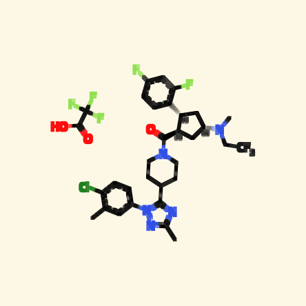 Cc1nc(C2CCN(C(=O)[C@@H]3C[C@@H](N(C)CC(F)(F)F)C[C@H]3c3ccc(F)cc3F)CC2)n(-c2ccc(Cl)c(C)c2)n1.O=C(O)C(F)(F)F